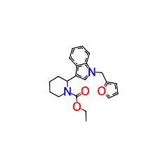 CCOC(=O)N1CCCCC1c1cn(Cc2ccco2)c2ccccc12